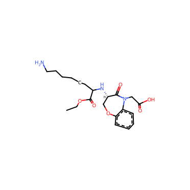 CCOC(=O)C(CCCCCCN)N[C@H]1COc2ccccc2N(CC(=O)O)C1=O